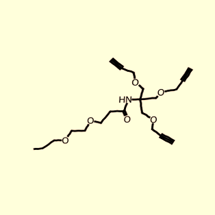 C#CCOCC(COCC#C)(COCC#C)NC(=O)CCOCCOCCC